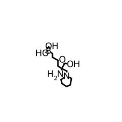 NC(CCCCB(O)O)(CN1CCCCC1)C(=O)O